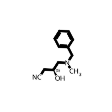 CN(Cc1ccccc1)C[C@@H](O)CC#N